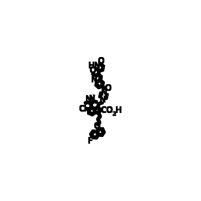 Cc1nc2ccc(C(=O)N3CCN(CCC4C(C(=O)O)=C(CCCOc5cccc6cc(F)ccc56)c5ccc(Cl)c(-c6c(C)nn(C)c6C)c54)CC3)cc2cc1C1CCC(=O)NC1=O